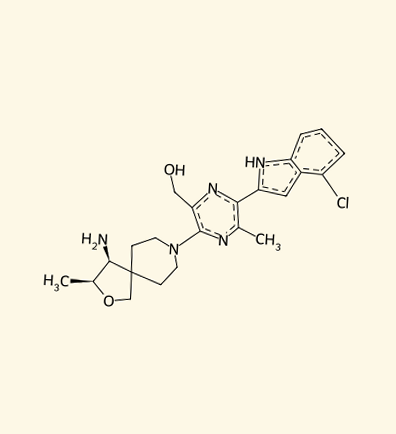 Cc1nc(N2CCC3(CC2)CO[C@@H](C)[C@H]3N)c(CO)nc1-c1cc2c(Cl)cccc2[nH]1